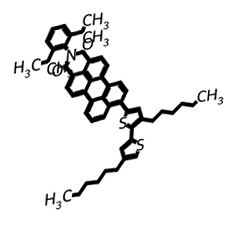 CCCCCCc1csc(-c2sc(-c3ccc4c5ccc6c7c(ccc(c8cccc3c84)c75)C(=O)N(c3c(C(C)C)cccc3C(C)C)C6=O)cc2CCCCCC)c1